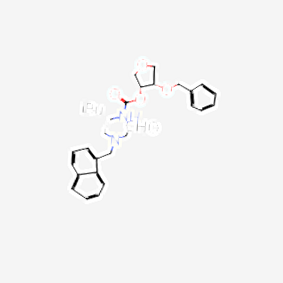 CC[C@H](C)[C@@H](CN(C[C]=O)Cc1cccc2ccccc12)NC(=O)O[C@H]1COC[C@H]1OCc1ccccc1